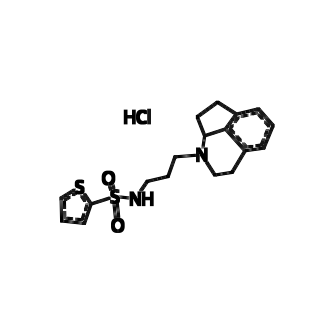 Cl.O=S(=O)(NCCCN1CCc2cccc3c2C1CC3)c1cccs1